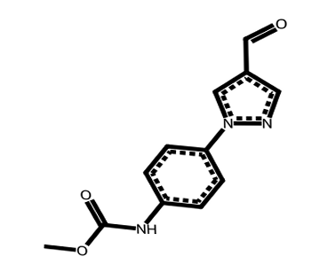 COC(=O)Nc1ccc(-n2cc(C=O)cn2)cc1